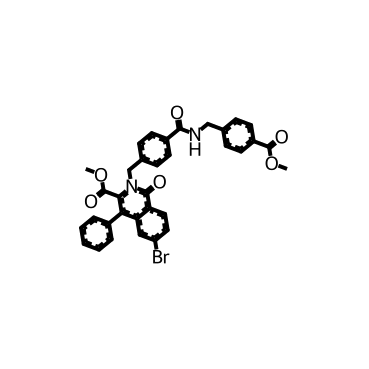 COC(=O)c1ccc(CNC(=O)c2ccc(Cn3c(C(=O)OC)c(-c4ccccc4)c4cc(Br)ccc4c3=O)cc2)cc1